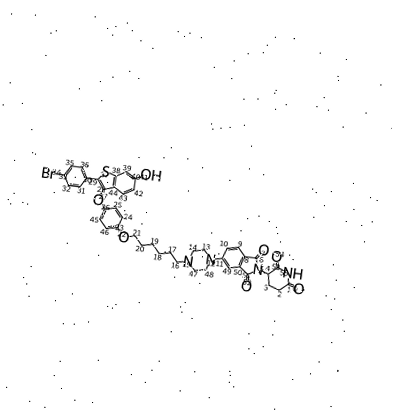 O=C1CCC(N2C(=O)c3ccc(N4CCN(CCCCCCOc5ccc(Oc6c(-c7ccc(Br)cc7)sc7cc(O)ccc67)cc5)CC4)cc3C2=O)C(=O)N1